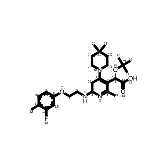 CC1=NC(NCCOc2ccc(C)c(F)c2)CC(N2CCC(C)(C)CC2)=C1[C@H](OC(C)(C)C)C(=O)O